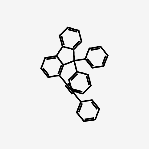 C(#Cc1cccc2c1C(c1ccccc1)(c1ccccc1)c1ccccc1-2)c1ccccc1